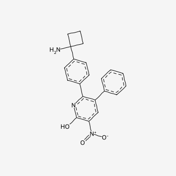 NC1(c2ccc(-c3nc(O)c([N+](=O)[O-])cc3-c3ccccc3)cc2)CCC1